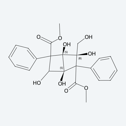 COC(=O)C1(c2ccccc2)C(O)[C@@]2(O)C(C(=O)OC)(c3ccccc3)[C@@](O)(CO)[C@@]12O